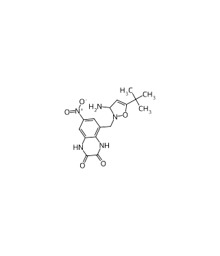 CC(C)(C)C1=CC(N)N(Cc2cc([N+](=O)[O-])cc3[nH]c(=O)c(=O)[nH]c23)O1